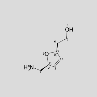 NC[C@@H]1C=C[C@H](CCO)O1